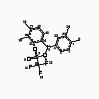 Cc1ccc([I+](OS(=O)(=O)C(F)(F)F)c2ccc(C)c(C)c2)cc1C